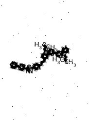 CC(C)Cn1c2ccccc2c2cc(-c3ccc4c(c3)c3cc(CCCc5ccc(-c6nnc(-c7ccc(-c8ccccc8)cc7)o6)cc5)ccc3n4CC(C)C)ccc21